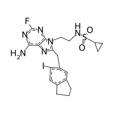 Nc1nc(F)nc2c1nc(Cc1cc3c(cc1I)CCC3)n2CCNS(=O)(=O)C1CC1